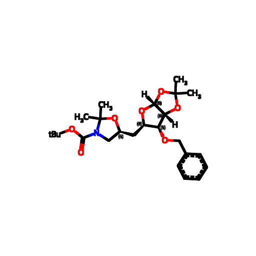 CC(C)(C)OC(=O)N1C[C@H](C[C@H]2O[C@@H]3OC(C)(C)O[C@@H]3[C@H]2OCc2ccccc2)OC1(C)C